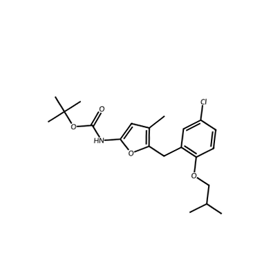 Cc1cc(NC(=O)OC(C)(C)C)oc1Cc1cc(Cl)ccc1OCC(C)C